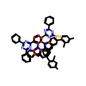 Cc1ccc(-c2ccc3c(c2)c2ccccc2n3-c2c(-c3nc(P)nc(-c4ccccc4)n3)cccc2-c2ccccc2-c2ccccc2-c2cccc(-c3nc(-c4ccccc4)nc(-c4ccccc4)n3)c2-n2c3ccccc3c3cc(-c4ccc(C)cc4C)ccc32)c(C)c1